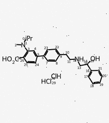 CC(C)N(C)c1cc(-c2ccc(CCNC[C@@H](O)c3ccccc3)cc2)ccc1C(=O)O.Cl.Cl